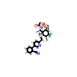 CC(=O)N1[C@H](C)[C@H]2[C@@H](/C=C/c3ccc(-c4ccccc4C#N)cn3)[C@H](C)C(F)(F)C[C@H]2S1(=O)=O